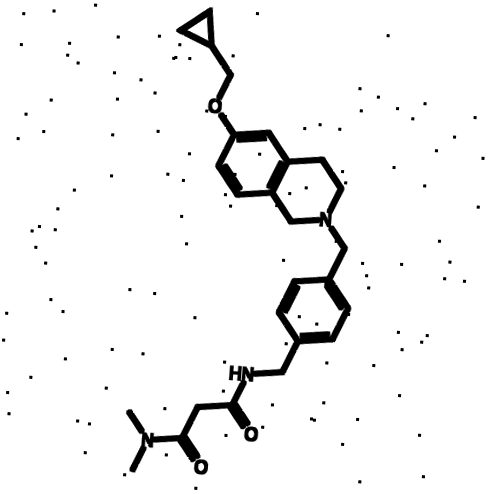 CN(C)C(=O)CC(=O)NCc1ccc(CN2CCc3cc(OCC4CC4)ccc3C2)cc1